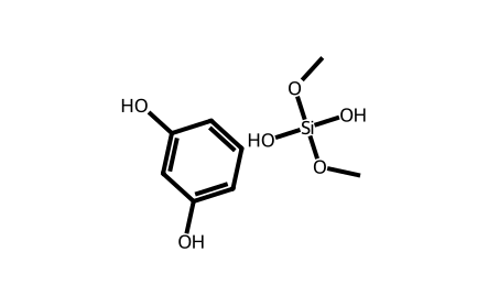 CO[Si](O)(O)OC.Oc1cccc(O)c1